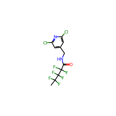 CC(F)(F)C(F)(F)C(F)(F)C(=O)NCc1cc(Cl)nc(Cl)c1